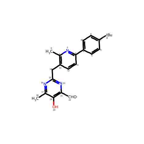 Cc1nc(-c2ccc(C(C)(C)C)cc2)ccc1Cc1nc(C)c(O)c([C]=O)n1